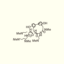 CNCCC[C@@H](CNC(=O)[C@H](CCCNC)NC(=O)[C@@H]1Cc2cc(ccc2O)-c2ccc(O)c(c2)C[C@H](NC)C(=O)N[C@@H](CCCNC)C(=O)N1)NC